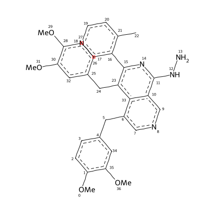 COc1ccc(Cc2cncc3c(NN)nc(-c4cnccc4C)c(Cc4ccc(OC)c(OC)c4)c23)cc1OC